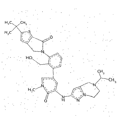 CC(C)N1CCn2nc(Nc3cc(-c4cccc(N5Cc6cc(C(C)(C)C)sc6C5=O)c4CO)cn(C)c3=O)cc2C1